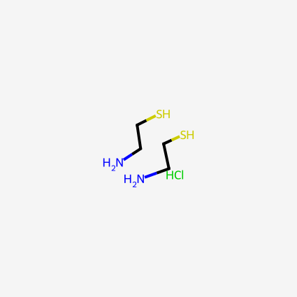 Cl.NCCS.NCCS